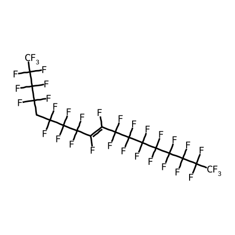 FC(=C(F)C(F)(F)C(F)(F)C(F)(F)C(F)(F)C(F)(F)C(F)(F)C(F)(F)C(F)(F)F)C(F)(F)C(F)(F)C(F)(F)CC(F)(F)C(F)(F)C(F)(F)C(F)(F)F